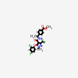 COC(=O)c1ccc([C@H](C)NC(=O)c2c(C(F)F)nn(C)c2Oc2ccc(F)cc2F)cc1